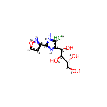 Cl.OC[C@@H](O)[C@@H](O)[C@H](O)c1c[nH]c(-c2ccon2)n1